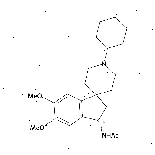 COc1cc2c(cc1OC)C1(CCN(C3CCCCC3)CC1)C[C@@H]2NC(C)=O